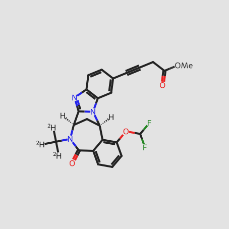 [2H]C([2H])([2H])N1C(=O)c2cccc(OC(F)F)c2[C@H]2C[C@@H]1c1nc3ccc(C#CCC(=O)OC)cc3n12